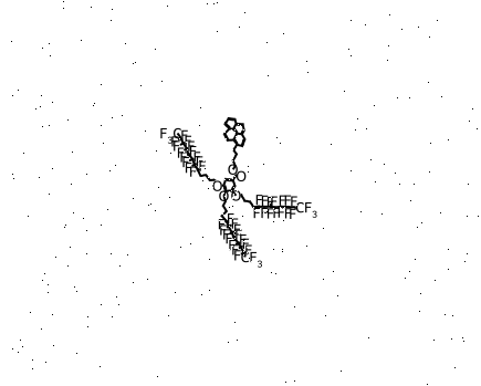 O=C(OCCCCc1ccc2ccc3cccc4ccc1c2c34)c1cc(OCCCCC(F)(F)C(F)(F)C(F)(F)C(F)(F)C(F)(F)C(F)(F)C(F)(F)C(F)(F)F)c(OCCCCC(F)(F)C(F)(F)C(F)(F)C(F)(F)C(F)(F)C(F)(F)C(F)(F)C(F)(F)F)c(OCCCCC(F)(F)C(F)(F)C(F)(F)C(F)(F)C(F)(F)C(F)(F)C(F)(F)C(F)(F)F)c1